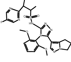 COc1cccc(OC)c1-n1c(NS(=O)(=O)C(C)C(C)c2ncc(F)cn2)nnc1-c1cnn2c1CCC2